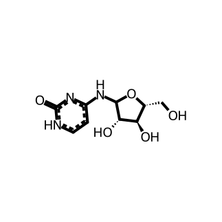 O=c1nc(NC2O[C@H](CO)[C@@H](O)[C@@H]2O)cc[nH]1